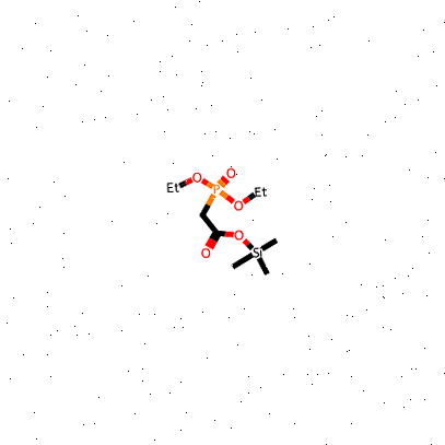 CCOP(=O)(CC(=O)O[Si](C)(C)C)OCC